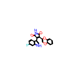 O=C1NC(=O)C(c2c[nH]c3cc(F)ccc23)=C1C1=COc2ccccc2O1